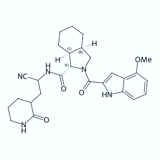 COc1cccc2[nH]c(C(=O)N3C[C@@H]4CCCC[C@@H]4[C@H]3C(=O)NC(C#N)CC3CCCNC3=O)cc12